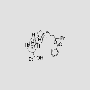 CCC(O)C1CC[C@@H]2CC[C@@H]3[C@H](CC[C@]4(C)[C@@H]([C@H](C)CCC(OC(=O)c5ccccc5)C(C)C)CC[C@@H]34)[C@H]2C1